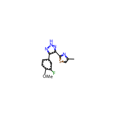 COc1ccc(-c2n[nH]nc2-c2nc(C)cs2)cc1F